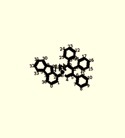 C1=CC(=[PH]2C=C(c3ccccc3)C(c3ccccc3)=C(c3ccccc3)N2)C2=Cc3ccccc3C2=C1